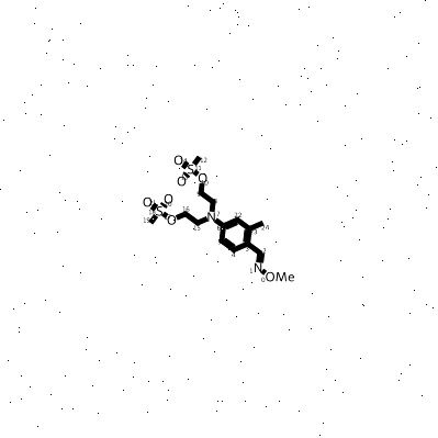 CON=Cc1ccc(N(CCOS(C)(=O)=O)CCOS(C)(=O)=O)cc1C